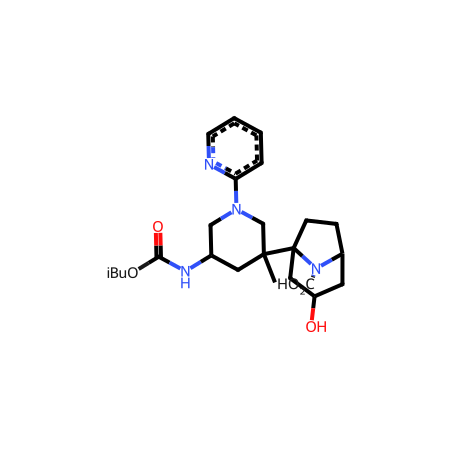 CC(C)COC(=O)NC1CN(c2ccccn2)CC(C)(C23CCC(CC(O)C2)N3C(=O)O)C1